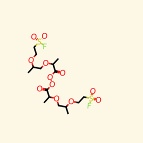 CC(COC(C)C(=O)OOC(=O)C(C)OCC(C)OCCS(=O)(=O)F)OCCS(=O)(=O)F